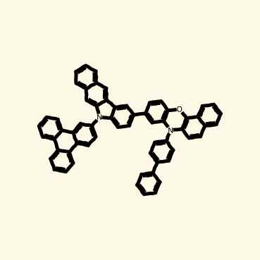 c1ccc(-c2ccc(N3c4cc(-c5ccc6c(c5)c5cc7ccccc7cc5n6-c5ccc6c7ccccc7c7ccccc7c6c5)ccc4Oc4c3ccc3ccccc43)cc2)cc1